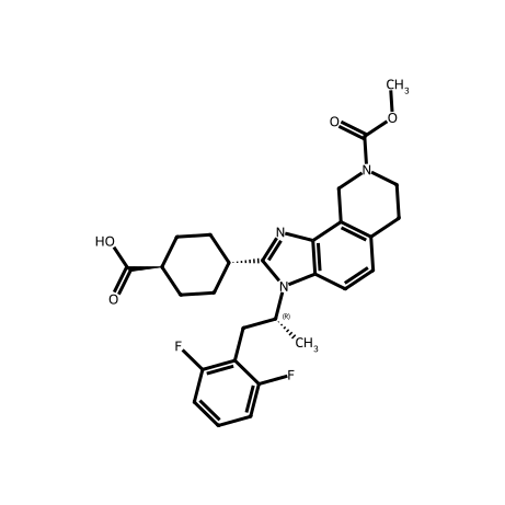 COC(=O)N1CCc2ccc3c(nc([C@H]4CC[C@H](C(=O)O)CC4)n3[C@H](C)Cc3c(F)cccc3F)c2C1